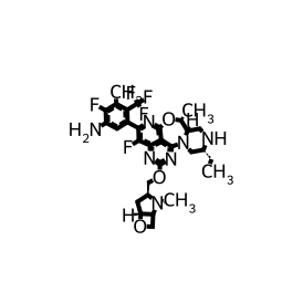 CC[C@@H]1CN2c3nc(OC[C@@H]4C[C@H]5OCC5N4C)nc4c(F)c(-c5cc(N)c(F)c(C)c5C(F)(F)F)nc(c34)O[C@@H](C)[C@@H]2CN1